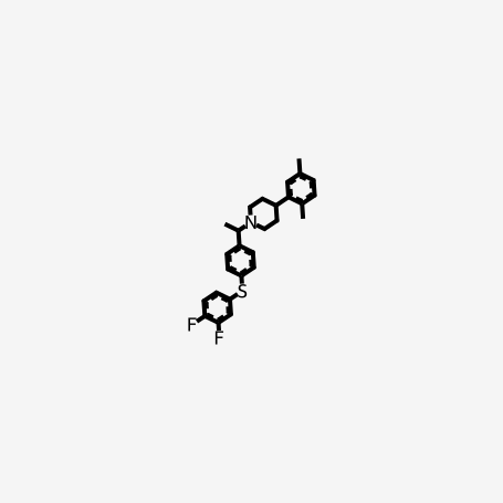 Cc1ccc(C)c(C2CCN(C(C)c3ccc(Sc4ccc(F)c(F)c4)cc3)CC2)c1